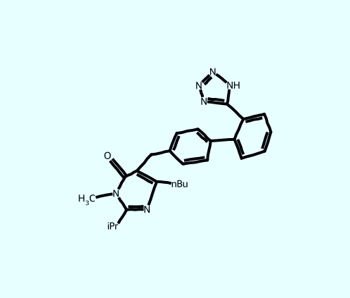 CCCCc1nc(C(C)C)n(C)c(=O)c1Cc1ccc(-c2ccccc2-c2nnn[nH]2)cc1